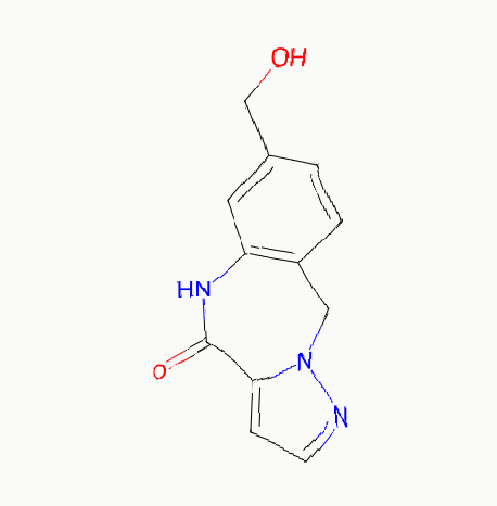 O=C1Nc2cc(CO)ccc2Cn2nccc21